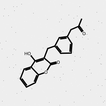 CC(=O)Cc1cccc(Cc2c(O)c3ccccc3oc2=O)c1